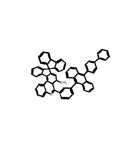 CC1C=C2C(=C3c4ccccc4N=C(c4cccc(-c5c6ccccc6c(-c6ccc(-c7ccccc7)cc6)c6ccccc56)c4)C31)c1ccccc1C21c2ccccc2-c2ccccc21